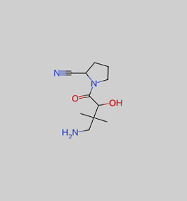 CC(C)(CN)C(O)C(=O)N1CCCC1C#N